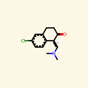 CN(C)/C=C1/C(=O)CCc2cc(Cl)ccc21